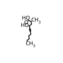 CCCCCC#CC(O)C[C@H](C)C(=O)O